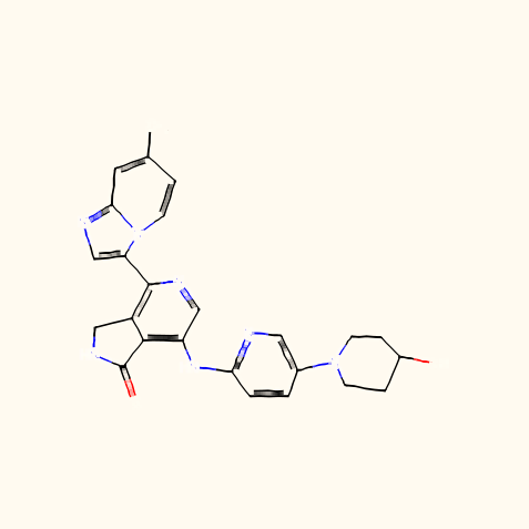 Cc1ccn2c(-c3ncc(Nc4ccc(N5CCC(O)CC5)cn4)c4c3CNC4=O)cnc2c1